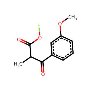 COc1cccc(C(=O)C(C)C(=O)OF)c1